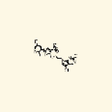 Cc1ncc(F)cc1-n1cc([N+](=O)[O-])c(OCCCn2nc(Cl)c3cnc(Cl)nc32)n1